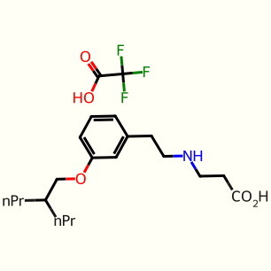 CCCC(CCC)COc1cccc(CCNCCC(=O)O)c1.O=C(O)C(F)(F)F